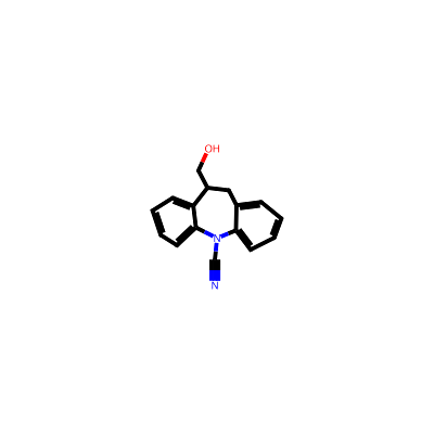 N#CN1c2ccccc2CC(CO)c2ccccc21